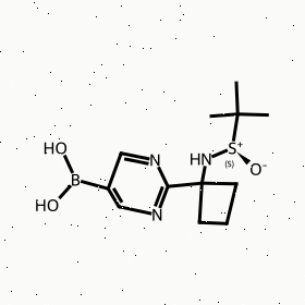 CC(C)(C)[S@@+]([O-])NC1(c2ncc(B(O)O)cn2)CCC1